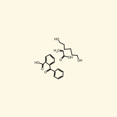 C=CC(=O)O.O=C(O)c1ccccc1C(=O)c1ccccc1.OCCCCCCO